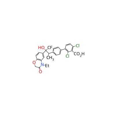 CCN1C(=O)COc2ccc(C(O)(C(C)c3ccc(-c4ccc(Cl)c(C(=O)O)c4Cl)cc3)C(F)(F)F)cc21